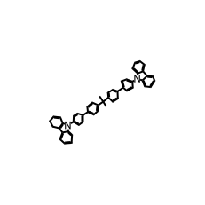 CC(C)(c1ccc(-c2ccc(-n3c4c(c5ccccc53)CCC=C4)cc2)cc1)c1ccc(-c2ccc(-n3c4ccccc4c4ccccc43)cc2)cc1